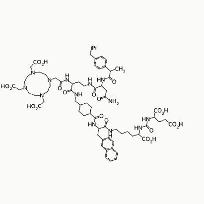 CC(C)Cc1ccc(C(C)C(=O)NC(CC(N)=O)C(=O)NCCC(NC(=O)CN2CCN(CC(=O)O)CCN(CC(=O)O)CCN(CC(=O)O)CC2)C(=O)NCC2CCC(C(=O)NC(Cc3ccc4ccccc4c3)C(=O)NCCCCC(NC(=O)NC(CCC(=O)O)C(=O)O)C(=O)O)CC2)cc1